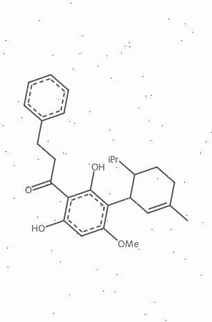 COc1cc(O)c(C(=O)CCc2ccccc2)c(O)c1C1C=C(C)CCC1C(C)C